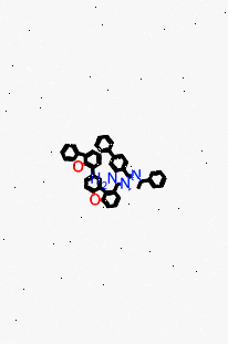 CC(/N=C(/c1ccc(-c2ccccc2)cc1)N(C)C(N)c1cccc2oc3ccc(-c4cccc5c4oc4ccccc45)cc3c12)c1ccccc1